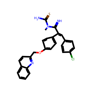 CN(C(=N)/C(=C/c1ccc(Cl)cc1)c1ccc(OCc2ccc3ccccc3n2)cc1)C(N)=S